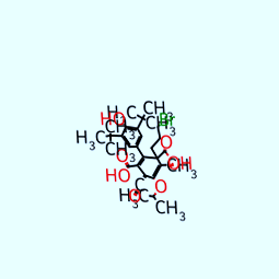 CC1=C(OC(C)C)C(=C=O)C(C(=O)O)=C(c2cc(C(C)(C)C)c(O)c(C(C)(C)C)c2)C1(CCCBr)C(=O)O